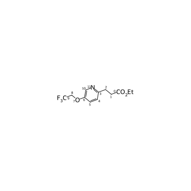 CCOC(=O)CCc1ccc(OCC(F)(F)F)cn1